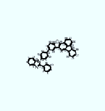 c1ccc(-c2nc3ccccc3n2-c2ccc(-c3ccc4oc5c6cccc7c6c(cc5c4c3)-c3ccccc3-7)cc2)cc1